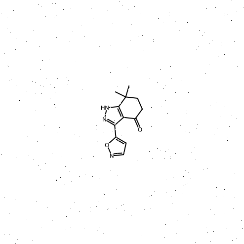 CC1(C)CCC(=O)c2c(-c3ccno3)n[nH]c21